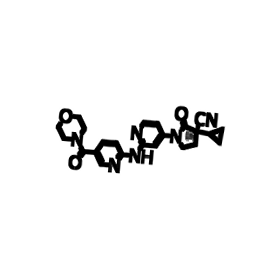 N#C[C@@]1(C2CC2)CCN(c2ccnc(Nc3ccc(C(=O)N4CCOCC4)cn3)c2)C1=O